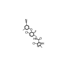 Cc1cc(C#N)cc(Oc2c(Cl)ccc(CNC(=O)c3[nH]c(C)nc3Cl)c2F)c1